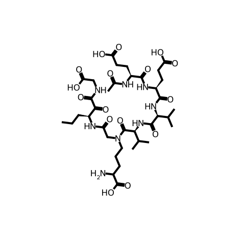 CCC[C@H](NC(=O)CN(CCCC(N)C(=O)O)C(=O)[C@@H](NC(=O)[C@@H](NC(=O)[C@H](CCC(=O)O)NC(=O)[C@H](CCC(=O)O)NC(C)=O)C(C)C)C(C)C)C(=O)C(=O)NCC(=O)O